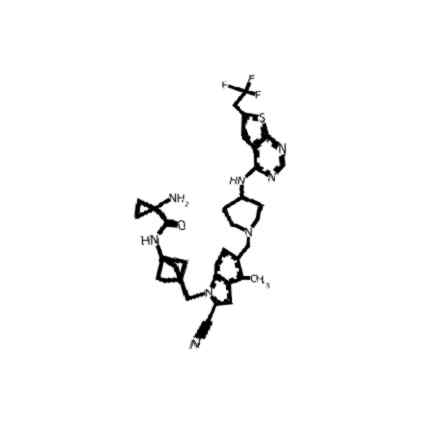 Cc1c(CN2CCC(Nc3ncnc4sc(CC(F)(F)F)cc34)CC2)ccc2c1cc(C#N)n2CC12CC(NC(=O)C3(N)CC3)(C1)C2